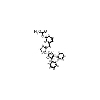 CC(=O)Oc1cccc(CN2CCC[C@H]2c2nc(-c3ccccc3)c(-c3ccccc3)o2)c1